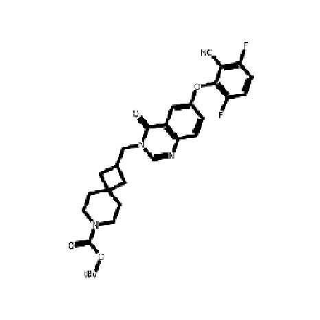 CC(C)(C)OC(=O)N1CCC2(CC1)CC(Cn1cnc3ccc(Oc4c(F)ccc(F)c4C#N)cc3c1=O)C2